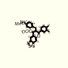 COc1ccc(C/C(C(=O)c2ccc(C)c(C)c2)=C(\C(=O)[O-])c2ccc3nsnc3c2)cc1.[Na+]